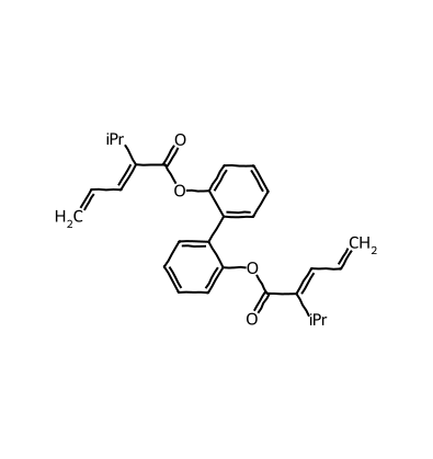 C=CC=C(C(=O)Oc1ccccc1-c1ccccc1OC(=O)C(=CC=C)C(C)C)C(C)C